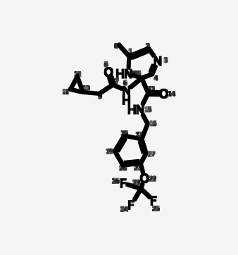 CC1=CN=CC(NC(=O)CC2CC2)(C(=O)NCc2cccc(OC(F)(F)F)c2)N1